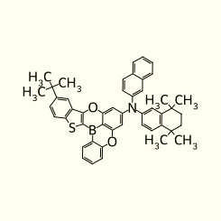 CC(C)(C)c1ccc2sc3c(c2c1)Oc1cc(N(c2ccc4c(c2)C(C)(C)CCC4(C)C)c2ccc4ccccc4c2)cc2c1B3c1ccccc1O2